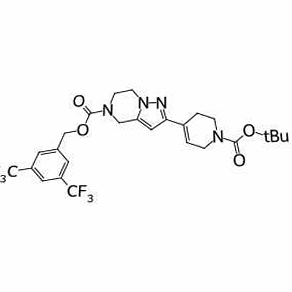 CC(C)(C)OC(=O)N1CC=C(c2cc3n(n2)CCN(C(=O)OCc2cc(C(F)(F)F)cc(C(F)(F)F)c2)C3)CC1